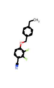 CCc1ccc(COc2ccc(C#N)c(F)c2F)cc1